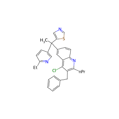 CCCc1nc2ccc(C(C)(c3ccc(CC)nc3)c3cncs3)cc2c(Cl)c1Cc1ccccc1